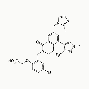 CCc1ccc(OCC(=O)O)c(CN2CCc3c(cc(Cn4ccnc4C)cc3-c3cn(C)nc3C(F)(F)F)C2=O)c1